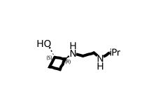 CC(C)NCCN[C@@H]1CC[C@@H]1O